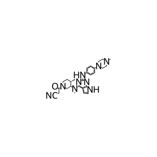 C[C@@H]1CCN(C(=O)CC#N)C[C@@H]1N(C)c1nc(Nc2ccc(N3CCN(C)CC3)cc2)nc2[nH]ccc12